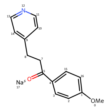 COc1ccc(C(=O)CCc2ccncc2)cc1.[Na]